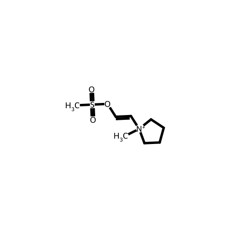 C[N+]1(/C=C/OS(C)(=O)=O)CCCC1